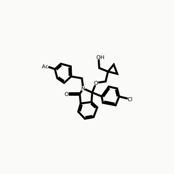 CC(=O)c1ccc(CN2C(=O)c3ccccc3C2(OCC2(CO)CC2)c2ccc(Cl)cc2)cc1